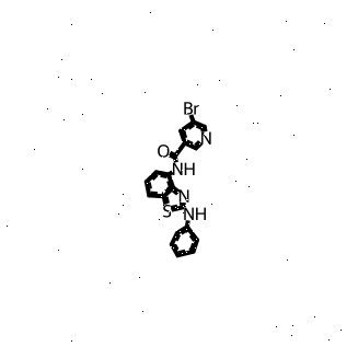 O=C(Nc1cccc2sc(Nc3ccccc3)nc12)c1cncc(Br)c1